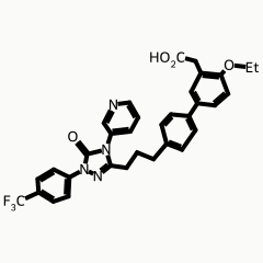 CCOc1ccc(-c2ccc(CCCc3nn(-c4ccc(C(F)(F)F)cc4)c(=O)n3-c3cccnc3)cc2)cc1CC(=O)O